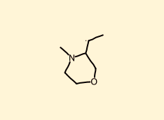 C[CH]C1COCCN1C